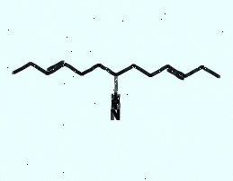 CCC=CCCC(C#N)CCC=CCC